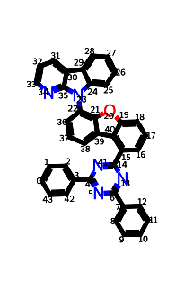 c1ccc(-c2nc(-c3ccccc3)nc(-c3cccc4oc5c(-n6c7ccccc7c7cccnc76)cccc5c34)n2)cc1